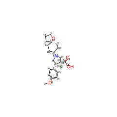 COc1ccc([C@@H]2CN([C@H]3CC[C@@]4(CCCO4)CC3)C[C@@]2(F)C(=O)O)cc1